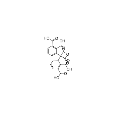 O=C(O)c1cccc(C2(c3cccc(C(=O)O)c3C(=O)O)C(=O)OC2=O)c1C(=O)O